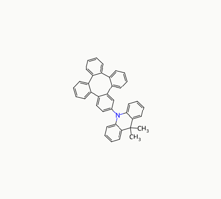 CC1(C)c2ccccc2N(c2ccc3c(c2)-c2ccccc2-c2ccccc2-c2ccccc2-3)c2ccccc21